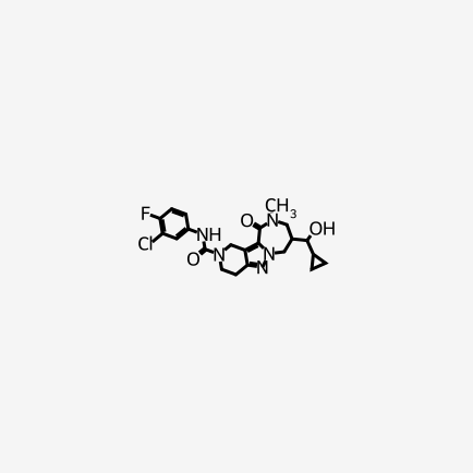 CN1CC(C(O)C2CC2)Cn2nc3c(c2C1=O)CN(C(=O)Nc1ccc(F)c(Cl)c1)CC3